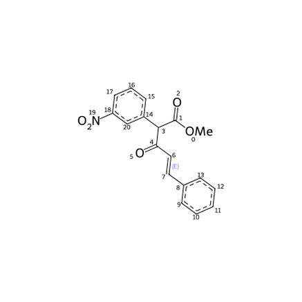 COC(=O)C(C(=O)/C=C/c1ccccc1)c1cccc([N+](=O)[O-])c1